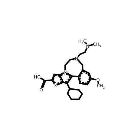 COc1ccc2c(c1)CN(CCN(C)C)CCn1c-2c(C2CCCCC2)c2sc(C(=O)O)cc21